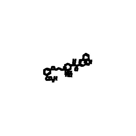 Cl.Cl.O=C(NC1CCN(CCCOc2cccc(C(=O)O)c2)CC1)C1=Cc2cnc3cccc(n23)S1